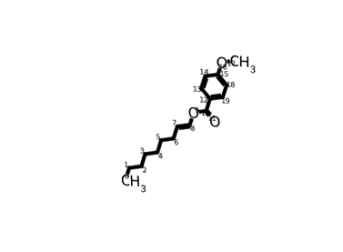 CCCCCCCC=COC(=O)c1ccc(OC)cc1